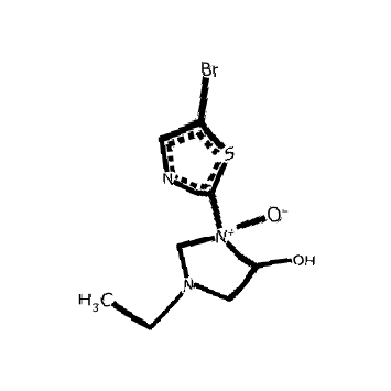 CCN1CC(O)[N+]([O-])(c2ncc(Br)s2)C1